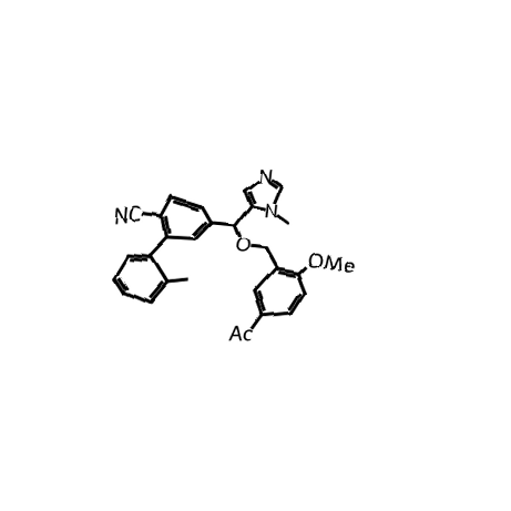 COc1ccc(C(C)=O)cc1COC(c1ccc(C#N)c(-c2ccccc2C)c1)c1cncn1C